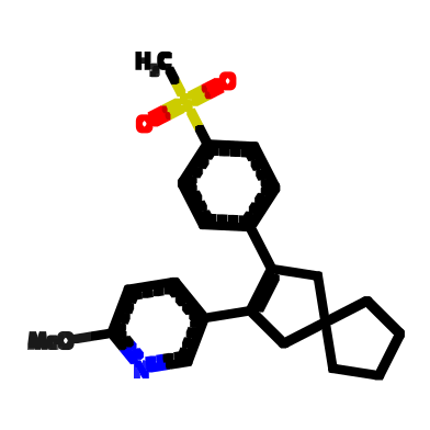 COc1ccc(C2=C(c3ccc(S(C)(=O)=O)cc3)CC3(CCCC3)C2)cn1